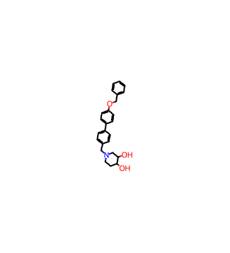 OC1CCN(Cc2ccc(-c3ccc(OCc4ccccc4)cc3)cc2)CC1O